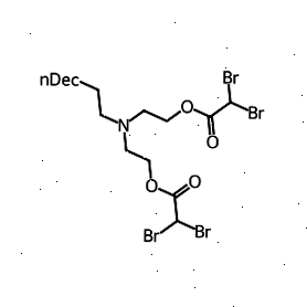 CCCCCCCCCCCCN(CCOC(=O)C(Br)Br)CCOC(=O)C(Br)Br